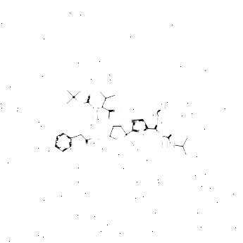 CC(C)NC(=O)N/C(=N/C=N)c1ccc([C@]2(C#N)O[C@H](COC(=O)Cc3ccccc3)[C@@H](OC(=O)[C@@H](NC(=O)OC(C)(C)C)C(C)C)[C@H]2O)[nH]1